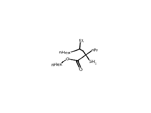 CCCCCCOC(=O)C([SiH3])(CCC)C(CC)CCCCCC